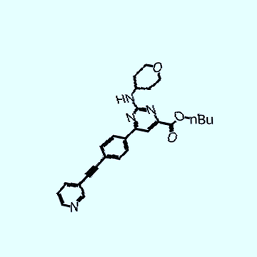 CCCCOC(=O)c1cc(-c2ccc(C#Cc3cccnc3)cc2)nc(NC2CCOCC2)n1